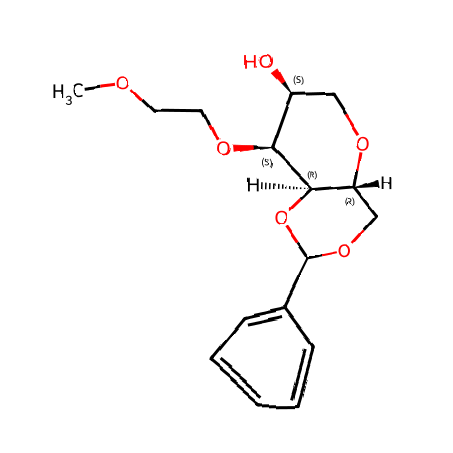 COCCO[C@@H]1[C@@H]2OC(c3ccccc3)OC[C@H]2OC[C@@H]1O